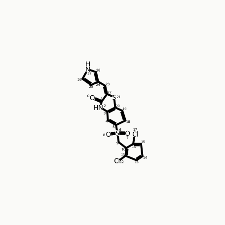 O=C1Nc2cc(S(=O)(=O)Cc3c(Cl)cccc3Cl)ccc2S/C1=C/c1cc[nH]c1